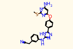 CSc1nc(N)cc(Oc2ccc(-c3nnc(Nc4cccc(CC#N)c4)[nH]3)cc2)n1